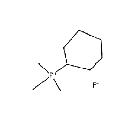 C[P+](C)(C)C1CCCCC1.[F-]